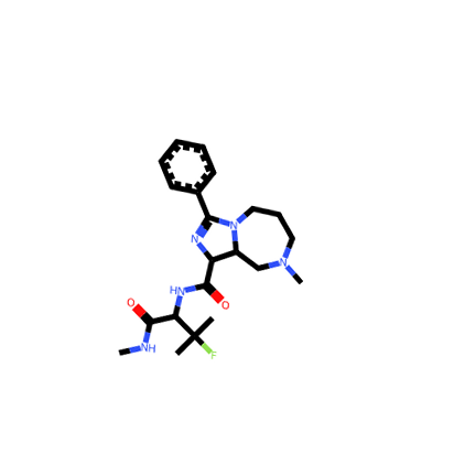 CNC(=O)C(NC(=O)C1N=C(c2ccccc2)N2CCCN(C)CC12)C(C)(C)F